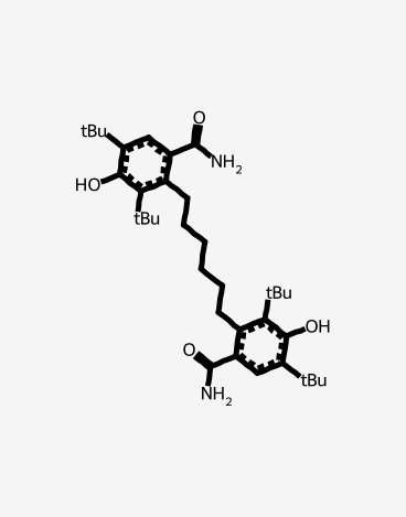 CC(C)(C)c1cc(C(N)=O)c(CCCCCCc2c(C(N)=O)cc(C(C)(C)C)c(O)c2C(C)(C)C)c(C(C)(C)C)c1O